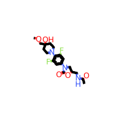 COCC1(O)CCN(c2c(F)cc(N3CC(CNC(C)=O)OC3=O)cc2F)CC1